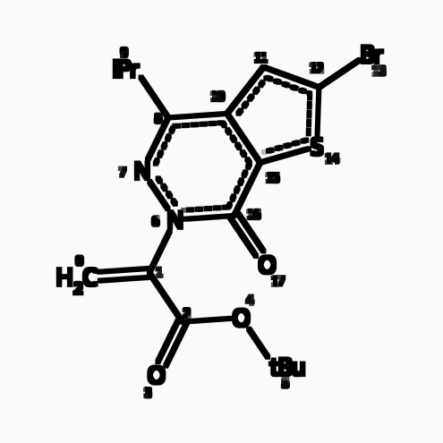 C=C(C(=O)OC(C)(C)C)n1nc(C(C)C)c2cc(Br)sc2c1=O